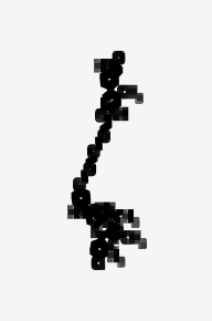 CC(=N)N1C(=N)[C@H](CC(=O)Nc2ccc(OCCOCCOCCOCCC(=O)Nc3cc(C)c(-c4ccc5c(c4)CC(=O)N5)cn3)cc2)N=C(c2ccc(Cl)cc2)c2c1sc(C)c2C